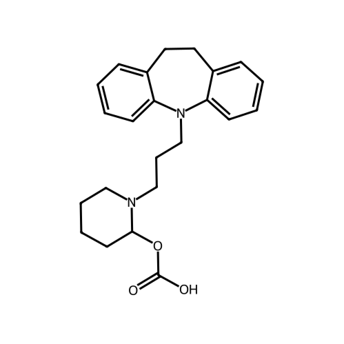 O=C(O)OC1CCCCN1CCCN1c2ccccc2CCc2ccccc21